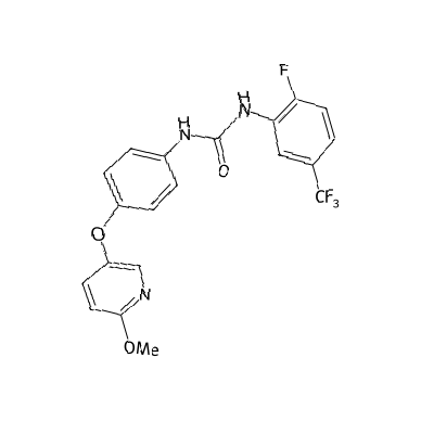 COc1ccc(Oc2ccc(NC(=O)Nc3cc(C(F)(F)F)ccc3F)cc2)cn1